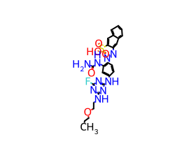 CCCOCCNc1nc(F)nc(Nc2ccc(N=Nc3cc4ccccc4cc3S(=O)(=O)O)c(NC(N)=O)c2)n1